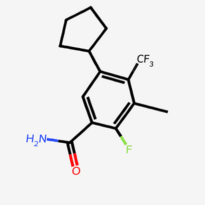 Cc1c(F)c(C(N)=O)cc(C2CCCC2)c1C(F)(F)F